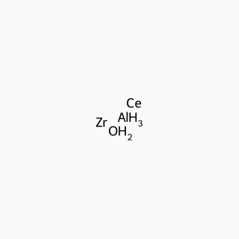 O.[AlH3].[Ce].[Zr]